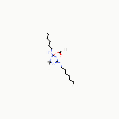 CCCCCCCNC1=NC(C)(C)NC(NCCCCCC)(OC(C)=O)N1